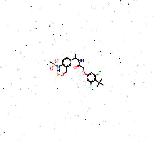 CC(NC(=O)COc1cc(F)c(C(C)(C)C)c(F)c1)c1ccc(NS(C)(=O)=O)c(CO)c1